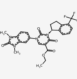 CCOC(=O)c1cn(-c2ccc3c(c2)n(C)c(=O)n3C)c(=O)n([C@H]2CCc3c2cccc3C(F)(F)F)c1=O